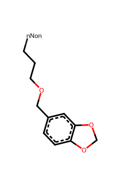 CCCCCCCCCCCCOCc1ccc2c(c1)OCO2